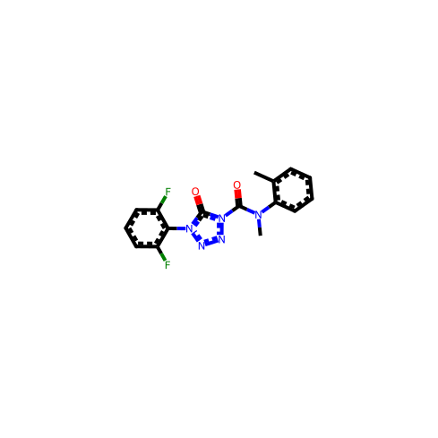 Cc1ccccc1N(C)C(=O)n1nnn(-c2c(F)cccc2F)c1=O